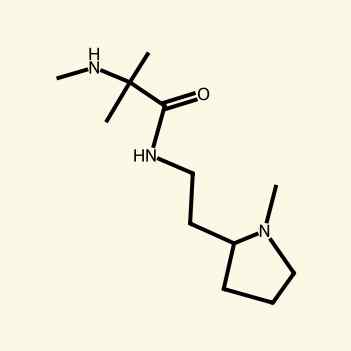 CNC(C)(C)C(=O)NCCC1CCCN1C